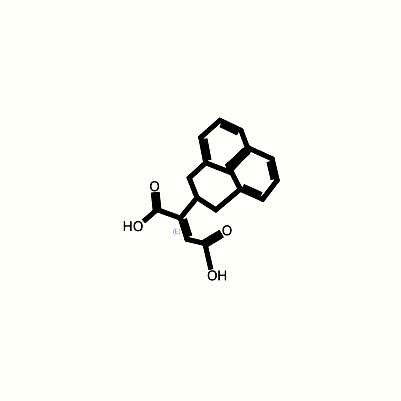 O=C(O)/C=C(/C(=O)O)C(Cc1ccccc1)Cc1ccccc1